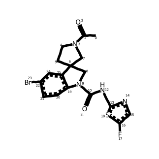 CC(=O)N1CCC2(C1)CN(C(=O)Nc1ncc(F)s1)c1ccc(Br)cc12